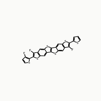 Fc1ccsc1-c1sc2cc3c(cc2c1F)sc1c2cc4sc(-c5cccs5)c(F)c4cc2sc31